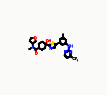 Cc1cc(Nc2nccc(C(F)(F)F)n2)cc(-c2cnc(C3(O)CCC(C(=O)N(C)C4CCOC4)CC3)s2)c1